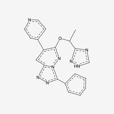 CC(Oc1nn2c(-c3ccccc3)nnc2cc1-c1ccncc1)c1nc[nH]n1